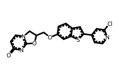 O=c1ccn2c(n1)OC(COc1ccc3cc(-c4ccnc(Cl)c4)sc3c1)C2